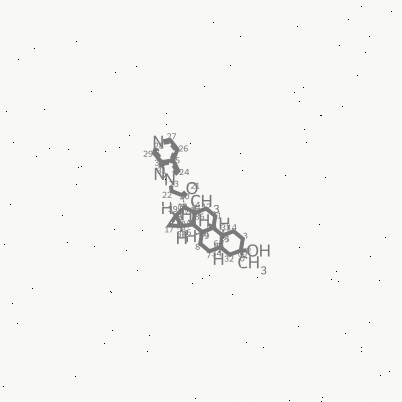 C[C@@]1(O)CC[C@H]2[C@H](CC[C@@H]3[C@@H]2CC[C@@]2(C)[C@H]3[C@@H]3C[C@@H]3[C@@H]2C(=O)Cn2cc3ccncc3n2)C1